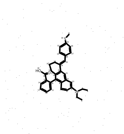 CCN(CC)c1ccc2c(-c3ccccc3C(=O)O)c3c(cc2c1)C(=Cc1ccc(SC)cc1)CCC3